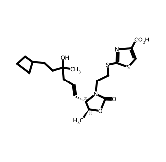 C[C@@H]1OC(=O)N(CCSc2nc(C(=O)O)cs2)[C@H]1C=CCC(C)(O)CCC1CCC1